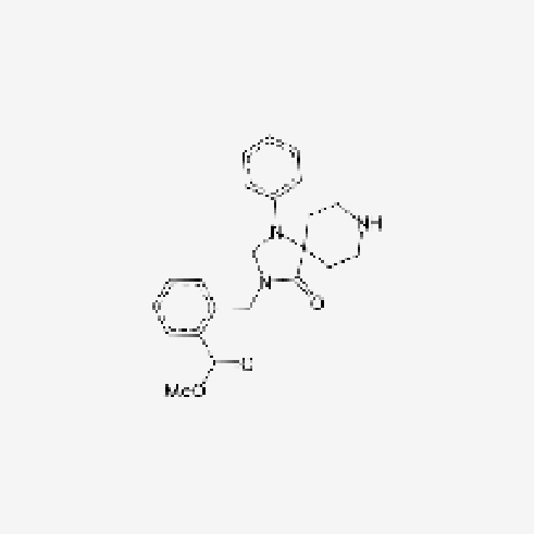 COC(=O)c1ccccc1CN1CN(c2ccccc2)C2(CCNCC2)C1=O